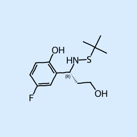 CC(C)(C)SN[C@H](CCO)c1cc(F)ccc1O